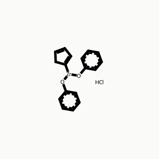 C1=CC[C]([Zr]([O]c2ccccc2)[O]c2ccccc2)=C1.Cl